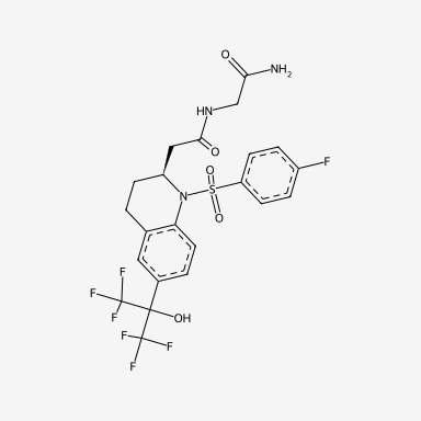 NC(=O)CNC(=O)C[C@@H]1CCc2cc(C(O)(C(F)(F)F)C(F)(F)F)ccc2N1S(=O)(=O)c1ccc(F)cc1